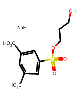 O=C(O)c1cc(C(=O)O)cc(S(=O)(=O)OCCCO)c1.[NaH]